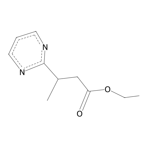 CCOC(=O)CC(C)c1ncccn1